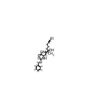 CCC#CCCCC(C)(O)/C=C/C(NC(=O)OCc1ccccc1)C(=O)OC